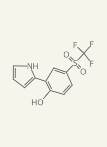 O=S(=O)(c1ccc(O)c(-c2ccc[nH]2)c1)C(F)(F)F